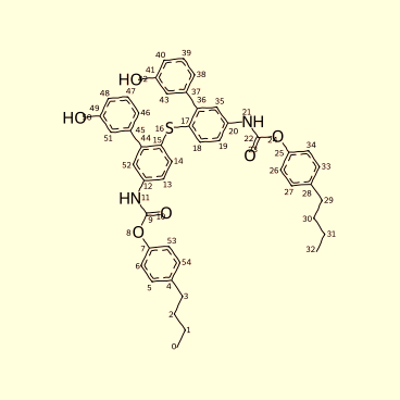 CCCCc1ccc(OC(=O)Nc2ccc(Sc3ccc(NC(=O)Oc4ccc(CCCC)cc4)cc3-c3cccc(O)c3)c(-c3cccc(O)c3)c2)cc1